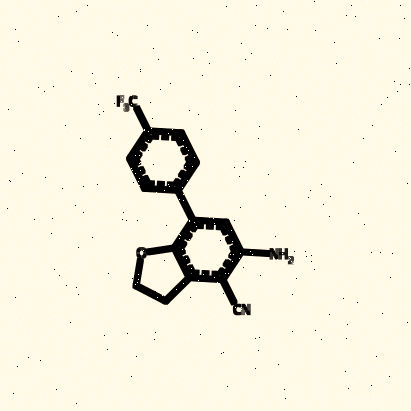 N#Cc1c(N)cc(-c2ccc(C(F)(F)F)cc2)c2c1CCO2